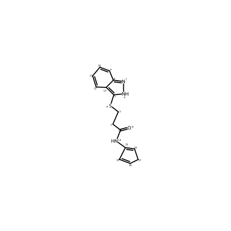 O=C(CCSc1[nH]nc2ccccc12)NC1=CCC=C1